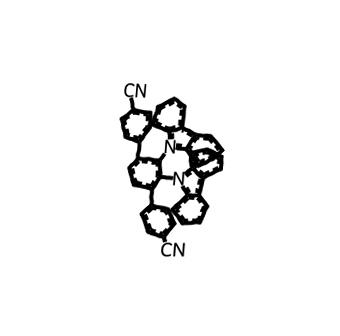 N#Cc1ccc(-c2ccc(-c3ccc(C#N)cc3)c(-n3c4ccccc4c4ccccc43)c2-n2c3ccccc3c3ccccc32)cc1